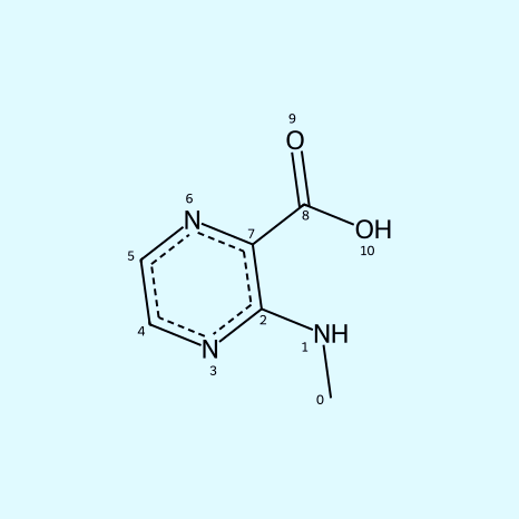 CNc1nccnc1C(=O)O